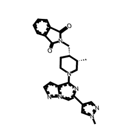 C[C@@H]1CN(c2nc(-c3cnn(C)c3)cn3nccc23)CC[C@@H]1CN1C(=O)c2ccccc2C1=O